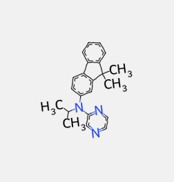 CC(C)N(c1ccc2c(c1)C(C)(C)c1ccccc1-2)c1cnccn1